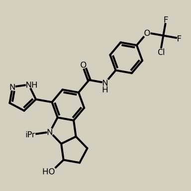 CC(C)N1c2c(-c3ccn[nH]3)cc(C(=O)Nc3ccc(OC(F)(F)Cl)cc3)cc2C2CCC(O)C21